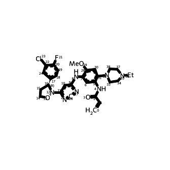 C=CC(=O)Nc1cc(Nc2cc(N3OCC[C@@H]3c3ccc(F)c(Cl)c3)ncn2)c(OC)cc1N1CCN(CC)CC1